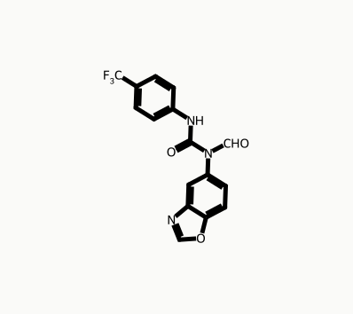 O=CN(C(=O)Nc1ccc(C(F)(F)F)cc1)c1ccc2ocnc2c1